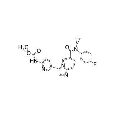 COC(=O)Nc1ccc(-c2cnc3ccc(C(=O)N(c4ccc(F)cc4)C4CC4)cn23)cn1